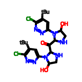 CC(C)(C)c1cc(N2C(O)CNC2C(=O)C2NCC(O)N2c2cc(C(C)(C)C)c(Cl)nn2)nnc1Cl